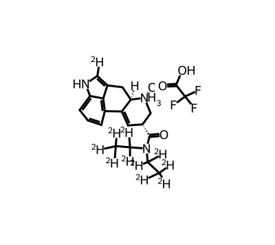 O=C(O)C(F)(F)F.[2H]c1[nH]c2cccc3c2c1C[C@@H]1C3=C[C@@H](C(=O)N(C([2H])([2H])C([2H])([2H])[2H])C([2H])([2H])C([2H])([2H])[2H])CN1C